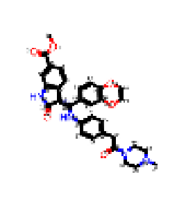 COC(=O)c1ccc2c(c1)NC(=O)/C2=C(\Nc1ccc(CC(=O)N2CCN(C)CC2)cc1)c1ccc2c(c1)OC=CO2